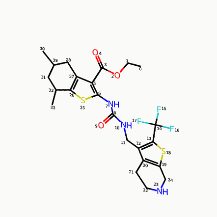 CCOC(=O)c1c(NC(=O)NCc2c(C(F)(F)F)sc3c2CCNC3)sc2c1CC(C)CC2C